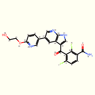 NC(=O)c1ccc(F)c(C(=O)c2c[nH]c3ncc(-c4ccc(OCCO)nc4)cc23)c1F